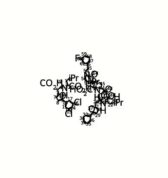 CC(C)CC(NC(Cc1ccc(-c2cc(Cl)cc(Cl)c2)o1)C(=O)O)C(=O)O.CC(C)CC(NC(Cc1ccc(-c2ccccc2)o1)C(=O)O)C(=O)OC(=O)C(CC(C)C)NC(Cn1ccn(CCc2cccc(F)c2)c1=O)C(=O)O